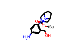 CC(C)(C)OC(=O)N1C2CCC1CN(c1ccc(N)cc1CO)C2